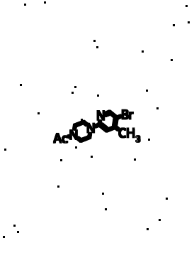 CC(=O)N1CCN(c2cc(C)c(Br)cn2)CC1